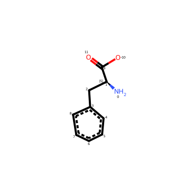 N[C@@H](Cc1ccccc1)C([O])=O